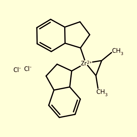 C[CH]1[CH](C)[Zr+2]1([CH]1CCC2C=CC=CC21)[CH]1CCC2C=CC=CC21.[Cl-].[Cl-]